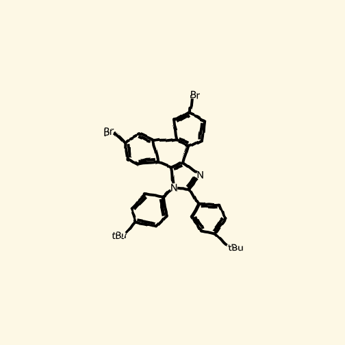 CC(C)(C)c1ccc(-c2nc3c4ccc(Br)cc4c4cc(Br)ccc4c3n2-c2ccc(C(C)(C)C)cc2)cc1